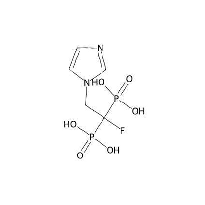 O=P(O)(O)C(F)(Cn1ccnc1)P(=O)(O)O